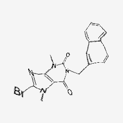 Cn1c(Br)nc2c1c(=O)n(Cc1ccc3ccccc3c1)c(=O)n2C